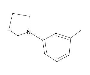 Cc1cccc(N2CCCC2)c1